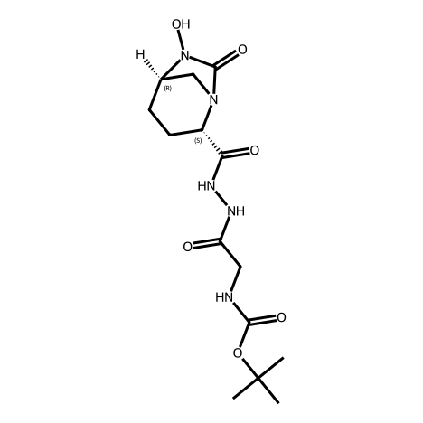 CC(C)(C)OC(=O)NCC(=O)NNC(=O)[C@@H]1CC[C@@H]2CN1C(=O)N2O